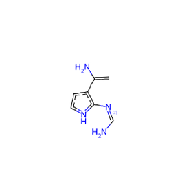 C=C(N)c1cc[nH]c1/N=C\N